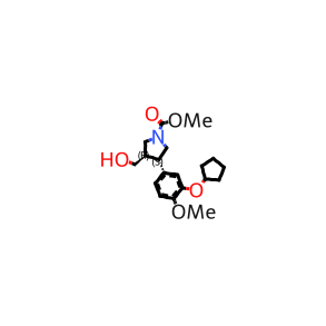 COC(=O)N1C[C@H](CO)[C@@H](c2ccc(OC)c(OC3CCCC3)c2)C1